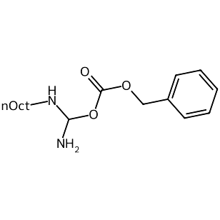 CCCCCCCCNC(N)OC(=O)OCc1ccccc1